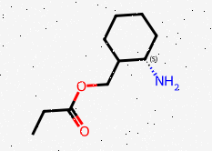 CCC(=O)OCC1CCCC[C@@H]1N